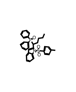 CCCCC(c1cc2ccccc2n1S(=O)(=O)c1ccc(C)cc1)P(=O)(c1ccccc1)c1ccccc1